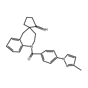 Cc1ccn(-c2ccc(C(=O)N3CCC4(CCCC4=N)Cc4ccccc43)cc2)n1